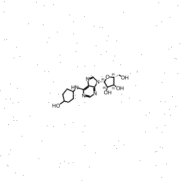 OC[C@H]1O[C@@H](n2cnc3c(NC4CCC(O)CC4)ncnc32)[C@H](O)[C@@H]1O